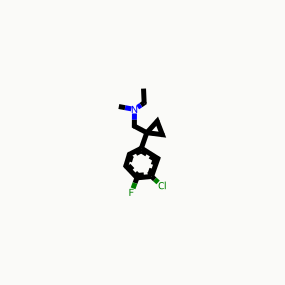 CCN(C)CC1(c2ccc(F)c(Cl)c2)CC1